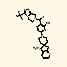 Nc1nc(N2CCC3(CC2)Cc2ncccc2[C@H]3N)cnc1C(=O)N1CCn2c(nnc2C(F)(F)F)C1